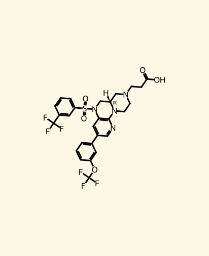 O=C(O)CCN1CCN2c3ncc(-c4cccc(OC(F)(F)F)c4)cc3N(S(=O)(=O)c3cccc(C(F)(F)F)c3)C[C@@H]2C1